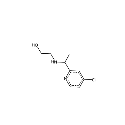 CC(NCCO)c1cc(Cl)ccn1